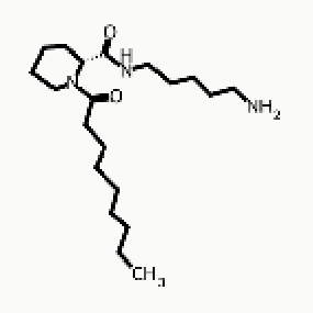 CCCCCCCCC(=O)N1CCCC[C@@H]1C(=O)NCCCCCN